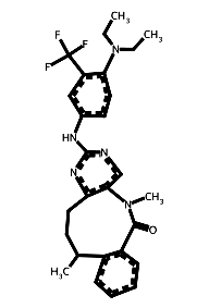 CCN(CC)c1ccc(Nc2ncc3c(n2)CCC(C)c2ccccc2C(=O)N3C)cc1C(F)(F)F